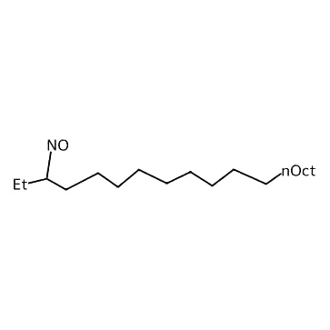 CCCCCCCCCCCCCCCCCC(CC)N=O